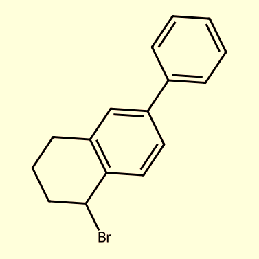 BrC1CCCc2cc(-c3ccccc3)ccc21